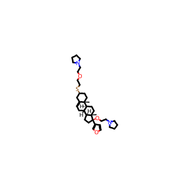 C[C@]12CC[C@H](SCCOCCN3CCCC3)CC1=CC[C@@H]1[C@@H]2CC[C@@]2(C)[C@H]1CC[C@@]2(OCCN1CCCC1)c1ccoc1